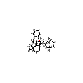 Cc1nc2ccccc2n1[C@@H]1C[C@H]2CC[C@@H](C1)N2CC[C@H](NC(=O)C1CCC1)c1ccccc1